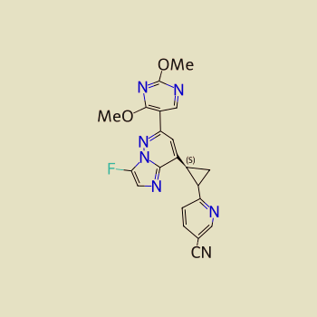 COc1ncc(-c2cc([C@H]3CC3c3ccc(C#N)cn3)c3ncc(F)n3n2)c(OC)n1